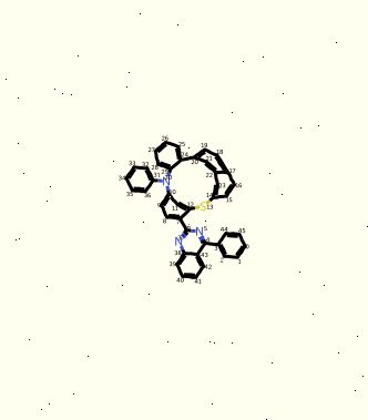 c1ccc(-c2nc(-c3ccc4cc3sc3ccc5ccc(cc5c3)c3ccccc3n4-c3ccccc3)nc3ccccc23)cc1